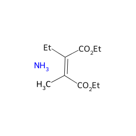 CCOC(=O)/C(C)=C(/CC)C(=O)OCC.N